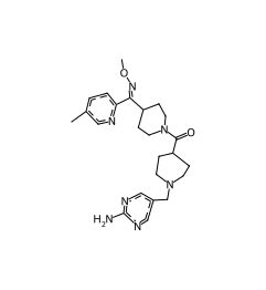 CO/N=C(\c1ccc(C)cn1)C1CCN(C(=O)C2CCN(Cc3cnc(N)nc3)CC2)CC1